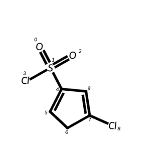 O=S(=O)(Cl)C1=CCC(Cl)=C1